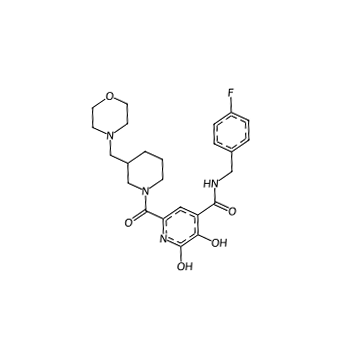 O=C(NCc1ccc(F)cc1)c1cc(C(=O)N2CCCC(CN3CCOCC3)C2)nc(O)c1O